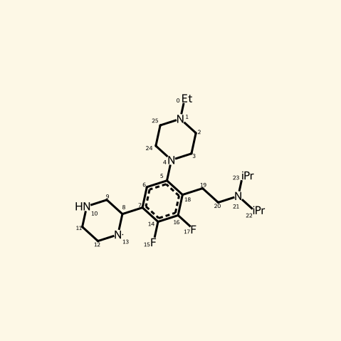 CCN1CCN(c2cc(C3CNCC[N]3)c(F)c(F)c2CCN(C(C)C)C(C)C)CC1